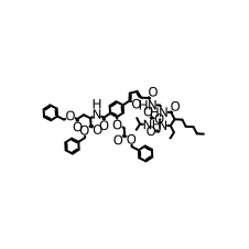 CCCCCC(C(=O)NCNC(=O)c1ccc(-c2ccc(C(=O)NC(CC(=O)OCc3ccccc3)C(=O)OCc3ccccc3)c(OCC(=O)OCc3ccccc3)c2)o1)C(CC)N(C=O)OC(=O)NC(C)C